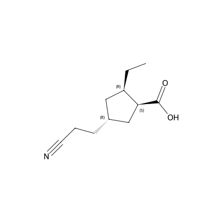 CC[C@@H]1C[C@@H](CCC#N)C[C@@H]1C(=O)O